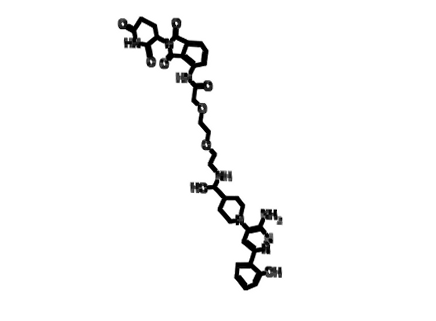 Nc1nnc(-c2ccccc2O)cc1N1CCC(C(O)NCCOCCOCC(=O)Nc2cccc3c2C(=O)N(C2CCC(=O)NC2=O)C3=O)CC1